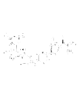 CN(C)C(=O)c1ccc(N2CCC(SC3CCN(C(=O)C(O)(c4cc(Cl)cc(Cl)c4)C(F)(F)F)CC3)CC2)nc1Cl